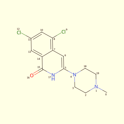 CN1CCN(c2cc3c(Cl)cc(Cl)cc3c(=O)[nH]2)CC1